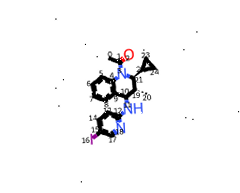 CC(=O)N1c2ccccc2C(Nc2ccc(I)cn2)[C@@H](C)[C@@H]1C1CC1